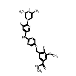 CNC(=O)c1cc(COc2cnc(Nc3cnc(N4C=C(C)N[C@@H](C)C4)c(F)c3)nc2)c(F)c(OC)c1